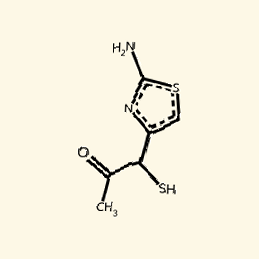 CC(=O)C(S)c1csc(N)n1